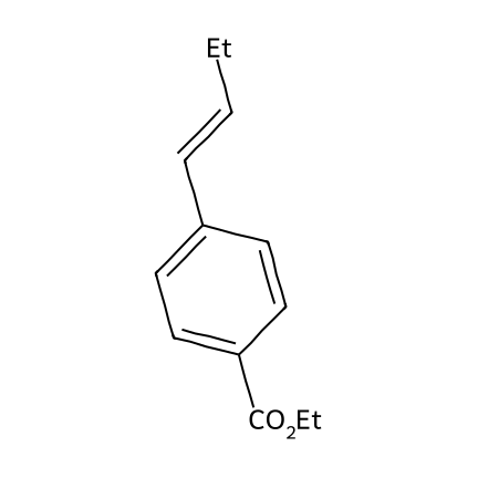 CCC=Cc1ccc(C(=O)OCC)cc1